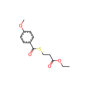 CCOC(=O)CCSC(=O)c1ccc(OC)cc1